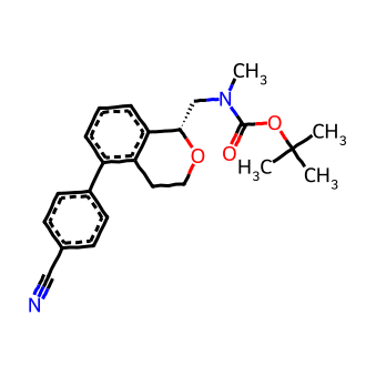 CN(C[C@@H]1OCCc2c(-c3ccc(C#N)cc3)cccc21)C(=O)OC(C)(C)C